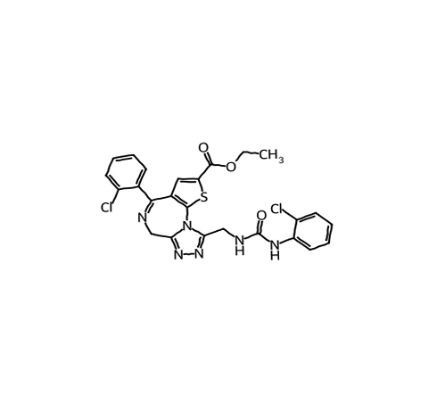 CCOC(=O)c1cc2c(s1)-n1c(nnc1CNC(=O)Nc1ccccc1Cl)CN=C2c1ccccc1Cl